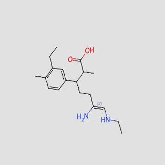 CCN/C=C(\N)CCC(c1ccc(C)c(CC)c1)C(C)C(=O)O